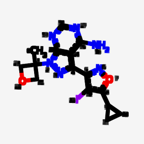 CC1(n2nc(-c3noc(C4CC4)c3I)c3c(N)ncnc32)COC1